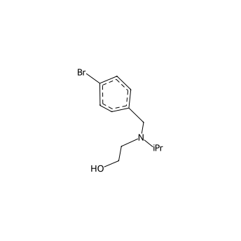 CC(C)N(CCO)Cc1ccc(Br)cc1